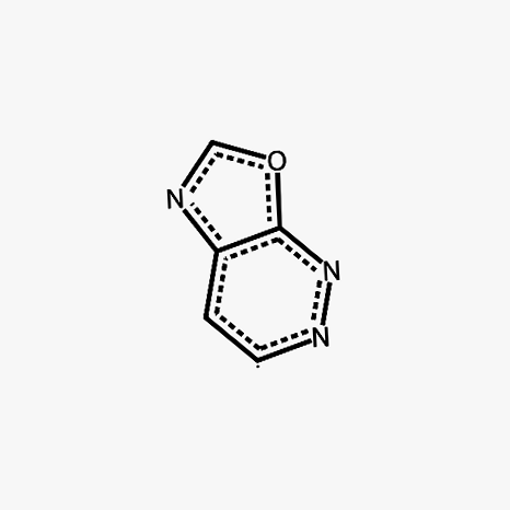 [c]1cc2ncoc2nn1